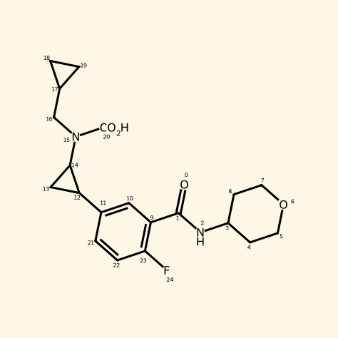 O=C(NC1CCOCC1)c1cc(C2CC2N(CC2CC2)C(=O)O)ccc1F